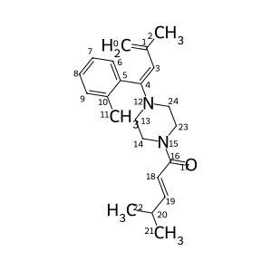 C=C(C)/C=C(\c1ccccc1C)N1CCN(C(=O)/C=C/C(C)C)CC1